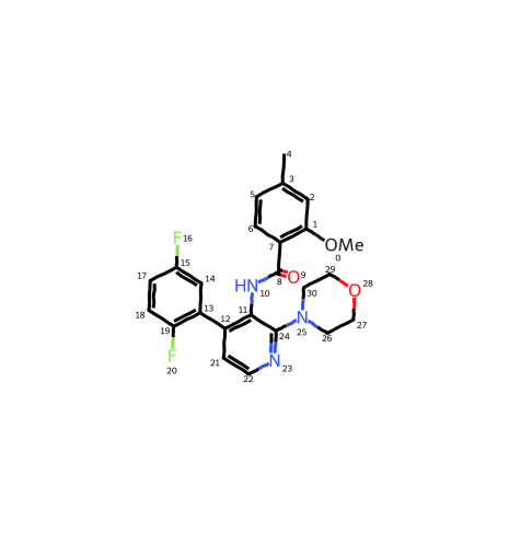 COc1cc(C)ccc1C(=O)Nc1c(-c2cc(F)ccc2F)ccnc1N1CCOCC1